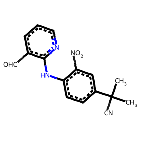 CC(C)(C#N)c1ccc(Nc2ncccc2C=O)c([N+](=O)[O-])c1